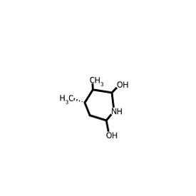 CC1C(O)NC(O)C[C@@H]1C